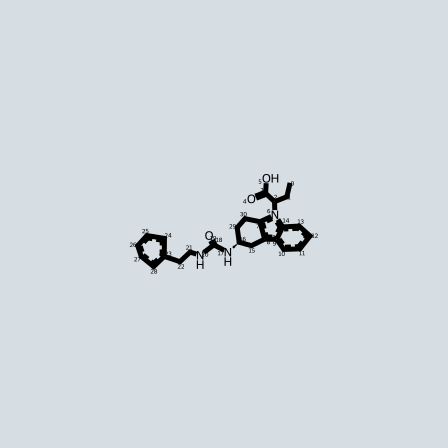 CCC(C(=O)O)n1c2c(c3ccccc31)C[C@H](NC(=O)NCCc1ccccc1)CC2